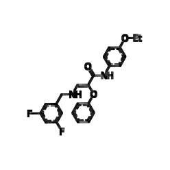 CCOc1ccc(NC(=O)/C(=C/NCc2cc(F)cc(F)c2)Oc2ccccc2)cc1